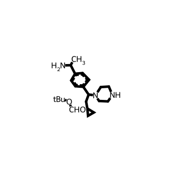 CC(C)(C)OC=O.CC(N)c1ccc(C(CC2CC2)N2CCNCC2)cc1